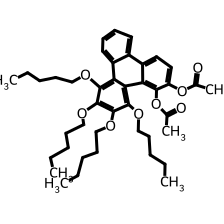 CCCCCOc1c(OCCCCC)c(OCCCCC)c2c3c(OC(C)=O)c(OC(C)=O)ccc3c3ccccc3c2c1OCCCCC